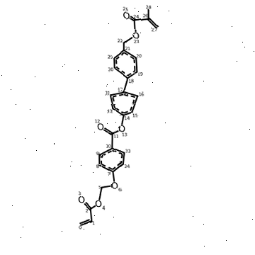 C=CC(=O)OCOc1ccc(C(=O)Oc2ccc(-c3ccc(COC(=O)C(=C)C)cc3)cc2)cc1